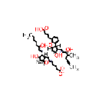 CC#CCC(C)[C@H](O)/C=C/[C@@H]1[C@H]2c3cccc(CCCC(=O)O)c3O[C@H]2C[C@H]1O.CCCCC[C@H](O)/C=C/[C@@H]1[C@H]2C/C(=C/CCCC(=O)[O-])O[C@H]2C[C@H]1O.[Na+]